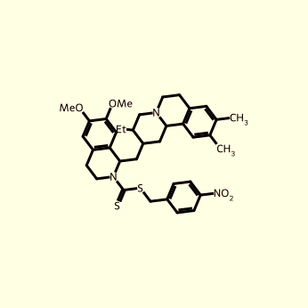 CCC1CN2CCc3cc(C)c(C)cc3C2CC1CC1c2cc(OC)c(OC)cc2CCN1C(=S)SCc1ccc([N+](=O)[O-])cc1